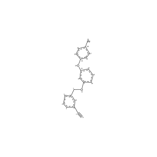 C#Cc1cccc(COc2cccc(Oc3ccc(C(C)C)cc3)c2)c1